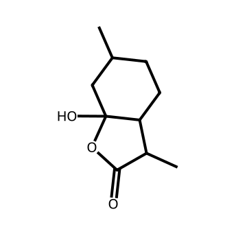 CC1CCC2C(C)C(=O)OC2(O)C1